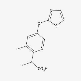 Cc1cc(Oc2nccs2)ccc1C(C)C(=O)O